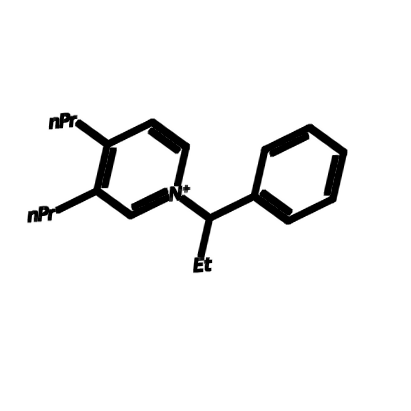 CCCc1cc[n+](C(CC)c2ccccc2)cc1CCC